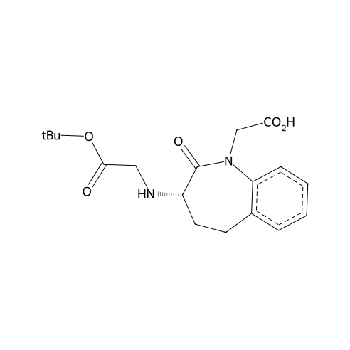 CC(C)(C)OC(=O)CN[C@H]1CCc2ccccc2N(CC(=O)O)C1=O